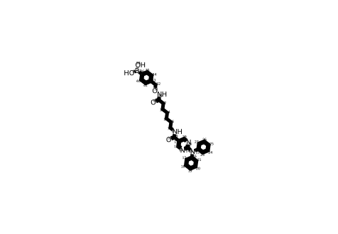 O=C(CCCCCCNC(=O)c1cnc(N(c2ccccc2)c2ccccc2)nc1)NOCc1ccc(B(O)O)cc1